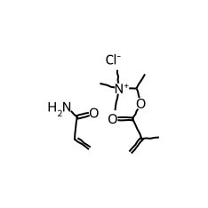 C=C(C)C(=O)OC(C)[N+](C)(C)C.C=CC(N)=O.[Cl-]